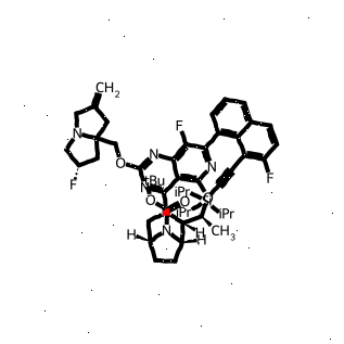 C=C1CN2C[C@@H](F)CC2(COc2nc3c4c(nc(-c5cccc6ccc(F)c(C#C[Si](C(C)C)(C(C)C)C(C)C)c56)c(F)c4n2)O[C@@H](C)[C@@H]2[C@@H]4CC[C@H](CN32)N4C(=O)OC(C)(C)C)C1